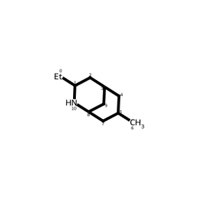 CCC1CC2CC(C)CC(C2)N1